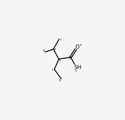 CCC(C(=O)S)C(C)C